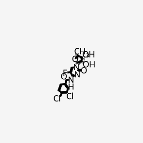 C[C@H]1O[C@@H](n2cc(F)c(NC(=O)c3ccc(Cl)c(Cl)c3)nc2=O)[C@H](O)[C@@H]1O